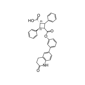 O=C1CCc2cc(-c3cccc(OC(=O)C4C(c5ccccc5)[C@@H](C(=O)O)[C@@H]4c4ccccc4)c3)ccc2N1